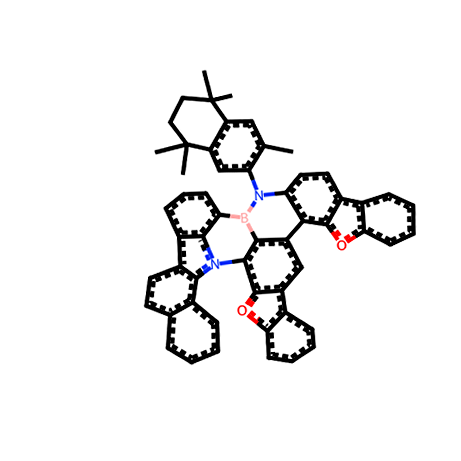 Cc1cc2c(cc1N1B3c4c(cc5c(oc6ccccc65)c4-n4c5c3cccc5c3ccc5ccccc5c34)-c3c1ccc1c3oc3ccccc31)C(C)(C)CCC2(C)C